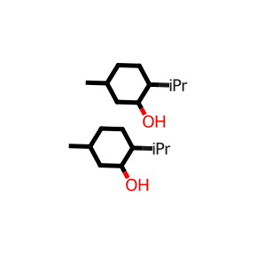 CC1CCC(C(C)C)C(O)C1.CC1CCC(C(C)C)C(O)C1